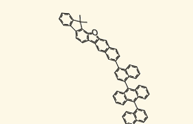 CC1(C)c2ccccc2-c2ccc3c(oc4cc5ccc(-c6ccc(-c7c8ccccc8c(-c8cccc9ccccc89)c8ccccc78)c7ccccc67)cc5cc43)c21